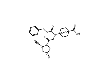 N#C[C@@H]1C[C@H](F)CN1C(=O)CN(C(=O)OCc1ccccc1)C12CCC(C(=O)O)(CC1)CC2